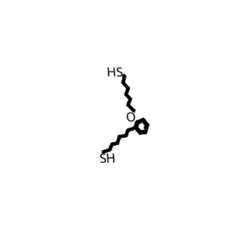 SCCCCCCCOc1ccccc1CCCCCCCS